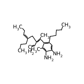 C=C/C(C/C(=C\CC)CCC)=C(/C)c1c(CCCCC)cc(N)c(N)c1C